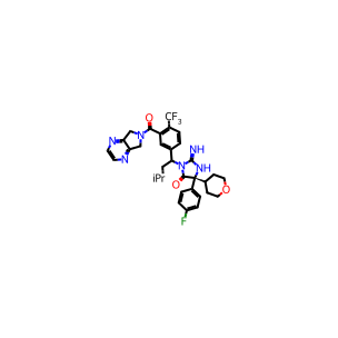 CC(C)CC(c1ccc(C(F)(F)F)c(C(=O)N2Cc3nccnc3C2)c1)N1C(=N)N[C@@](c2ccc(F)cc2)(C2CCOCC2)C1=O